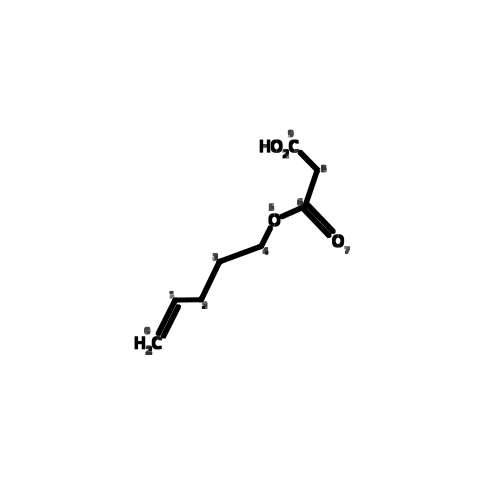 C=CCCCOC(=O)CC(=O)O